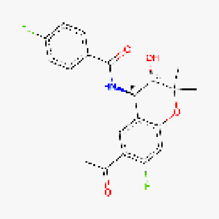 CC(=O)c1cc2c(cc1F)OC(C)(C)[C@@H](O)[C@@H]2NC(=O)c1ccc(F)cc1